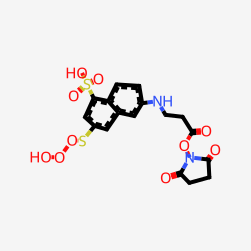 O=C(CCNc1ccc2c(S(=O)(=O)O)cc(SOOO)cc2c1)ON1C(=O)CCC1=O